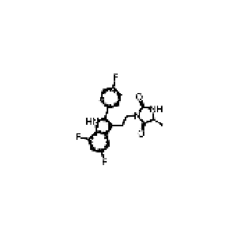 C[C@@H]1NC(=O)N(CCc2c(-c3ccc(F)cc3)[nH]c3c(F)cc(F)cc23)C1=O